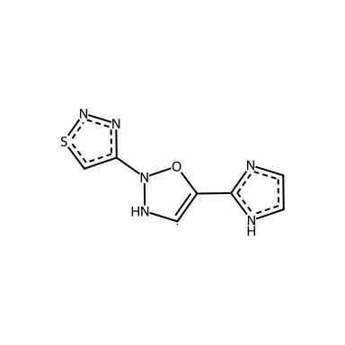 [C]1=C(c2ncc[nH]2)ON(c2csnn2)N1